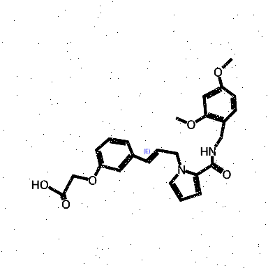 COc1ccc(CNC(=O)c2cccn2C/C=C/c2cccc(OCC(=O)O)c2)c(OC)c1